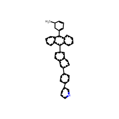 CC1C=CC=C(c2c3ccccc3c(-c3ccc4cc(-c5ccc(-c6cccnc6)cc5)ccc4c3)c3ccccc23)C1